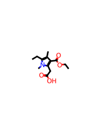 CCOC(=O)c1c(C)c(CC)n(C)c1CC(=O)O